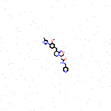 COc1cc(/C=C2\CCCN3C2=NOC[C@@H]3CC(=O)NCc2ccncc2)ccc1-n1cnc(C)c1